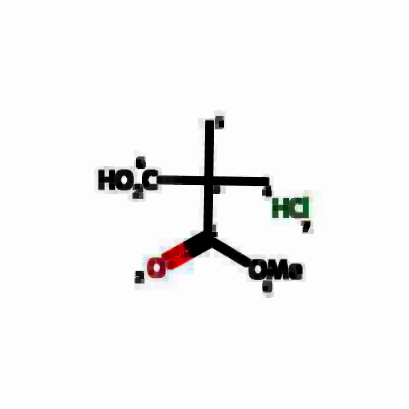 COC(=O)C(C)(C)C(=O)O.Cl